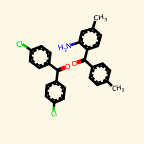 Cc1ccc(C(=O)c2ccc(C)cc2N)cc1.O=C(c1ccc(Cl)cc1)c1ccc(Cl)cc1